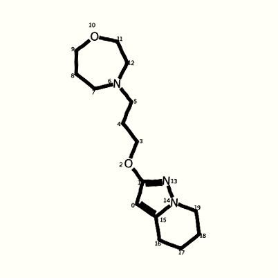 c1c(OCCCN2CCCOCC2)nn2c1CCCC2